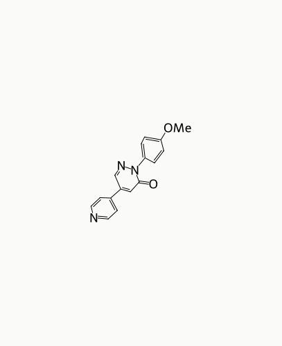 COc1ccc(-n2ncc(-c3ccncc3)cc2=O)cc1